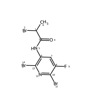 CC(Br)C(=O)Nc1cc(F)c(Br)nc1Br